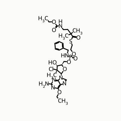 CCOC(=O)NCCC(C)(C)C(=O)SCCOP(=O)(NCc1ccccc1)OC[C@H]1O[C@@H](n2cnc3c(OCC)nc(N)nc32)[C@](C)(Cl)[C@@H]1O